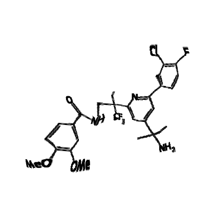 COc1ccc(C(=O)NCC(C)(c2cc(C(C)(C)N)cc(-c3ccc(F)c(Cl)c3)n2)C(F)(F)F)cc1OC